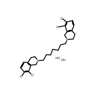 Cl.Cl.Clc1ccc2c(c1Cl)CN(CCCCCCCN1CCc3ccc(Cl)c(Cl)c3C1)CC2